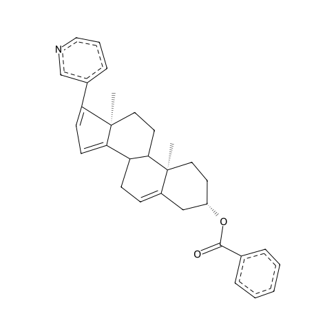 C[C@]12CCC3C(CC=C4C[C@@H](OC(=O)c5ccccc5)CC[C@@]43C)C1=CC=C2c1cccnc1